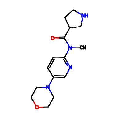 N#CN(C(=O)C1CCNC1)c1ccc(N2CCOCC2)cn1